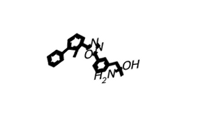 Cc1c(-c2ccccc2)cccc1-c1nnc(-c2cccc(CC(C)(N)O)c2)o1